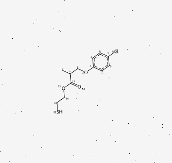 CC(COc1ccc(Cl)cc1)C(=O)OCCS